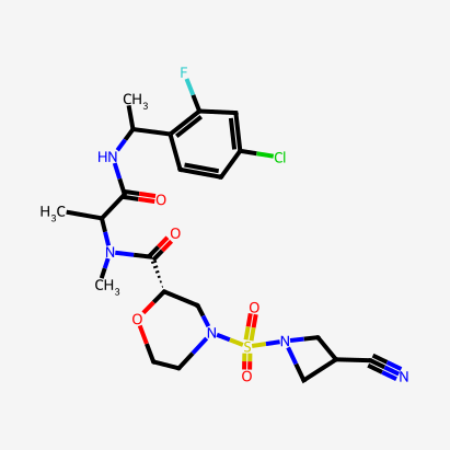 CC(NC(=O)C(C)N(C)C(=O)[C@@H]1CN(S(=O)(=O)N2CC(C#N)C2)CCO1)c1ccc(Cl)cc1F